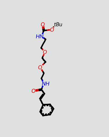 CC(C)(C)OC(=O)NCCOCCOCCNC(=O)C=Cc1ccccc1